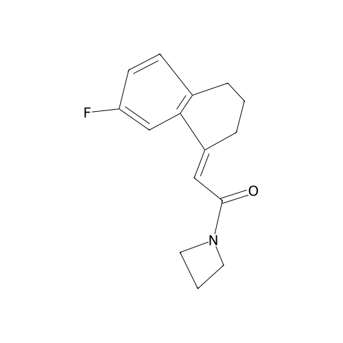 O=C(/C=C1\CCCc2ccc(F)cc21)N1CCC1